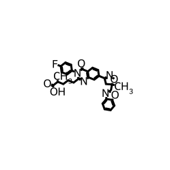 CC(CCCc1nc2cc(C3=NOC(C)(c4nc5ccccc5o4)C3)ccc2c(=O)n1-c1ccc(F)cc1)C(=O)O